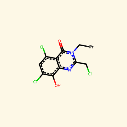 CC(C)Cn1c(CCl)nc2c(O)c(Cl)cc(Cl)c2c1=O